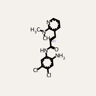 CN(C)c1ncccc1/C=C/C(=O)Nc1cc(Cl)c(Cl)cc1N